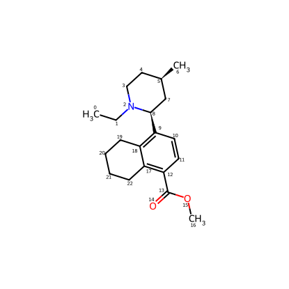 CCN1CC[C@@H](C)C[C@H]1c1ccc(C(=O)OC)c2c1CCCC2